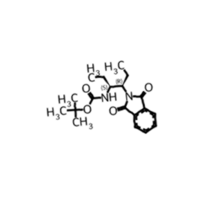 CC[C@H](NC(=O)OC(C)(C)C)[C@@H](CC)N1C(=O)c2ccccc2C1=O